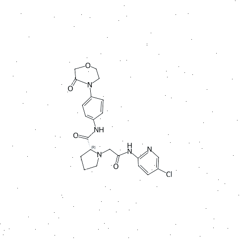 O=C(CN1CCC[C@@H]1C(=O)Nc1ccc(N2CCOCC2=O)cc1)Nc1ccc(Cl)cn1